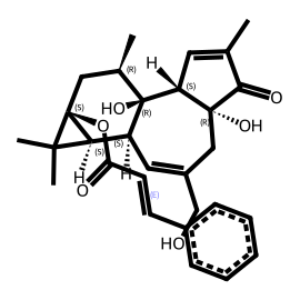 CC1=C[C@H]2[C@@]3(O)[C@H](C)C[C@]4(OC(=O)/C=C/c5ccccc5)[C@@H]([C@@H]3C=C(CO)C[C@]2(O)C1=O)C4(C)C